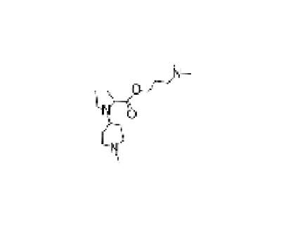 CN(C)CCCOC(=O)C1CCCN1C1CCN(C)CC1